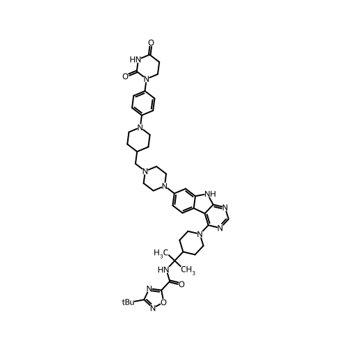 CC(C)(C)c1noc(C(=O)NC(C)(C)C2CCN(c3ncnc4[nH]c5cc(N6CCN(CC7CCN(c8ccc(N9CCC(=O)NC9=O)cc8)CC7)CC6)ccc5c34)CC2)n1